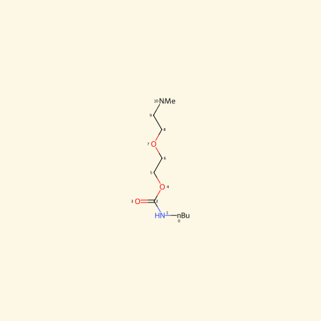 CCCCNC(=O)OCCOCCNC